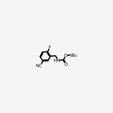 CC(C)(C)OC(=O)NCc1cc(C#N)ccc1F